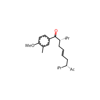 COc1ccc(C(=O)[C@@H](C/C=C/C[C@H](C(C)=O)C(C)C)C(C)C)cc1C